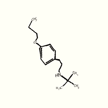 CCCOc1ccc(CNC(C)(C)C)cc1